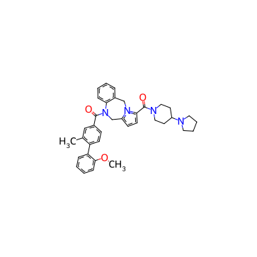 COc1ccccc1-c1ccc(C(=O)N2Cc3ccc(C(=O)N4CCC(N5CCCC5)CC4)n3Cc3ccccc32)cc1C